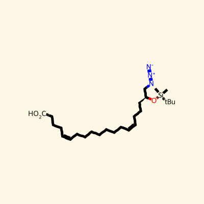 CC(C)(C)[Si](C)(C)O[C@@H](CCC/C=C\CCCCCCC/C=C\CCCC(=O)O)CN=[N+]=[N-]